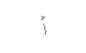 CC(C)[C@@H](C)OCCCCC#N